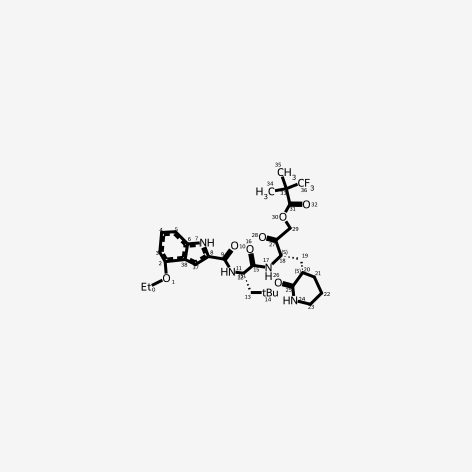 CCOc1cccc2[nH]c(C(=O)N[C@@H](CC(C)(C)C)C(=O)N[C@@H](C[C@@H]3CCCNC3=O)C(=O)COC(=O)C(C)(C)C(F)(F)F)cc12